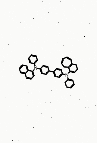 C1=CCCC(N(C2=CCCC3=C2CC=CC=C3)c2ccc(-c3ccc(N(c4ccccc4)c4cccc5ccccc45)cc3)cc2)=C1